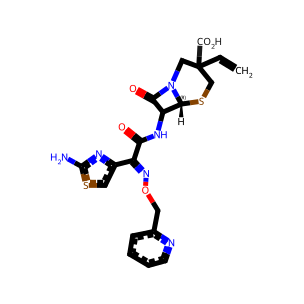 C=CC1(C(=O)O)CS[C@@H]2C(NC(=O)C(=NOCc3ccccn3)c3csc(N)n3)C(=O)N2C1